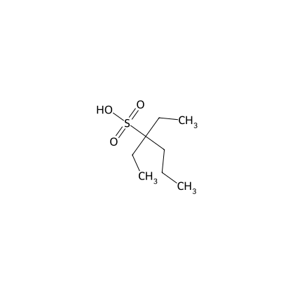 CCCC(CC)(CC)S(=O)(=O)O